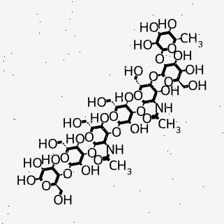 CC(=O)N[C@H]1[C@H](O[C@H]2[C@@H](O)[C@@H](CO)O[C@@H](O[C@H]3[C@H](O)[C@@H](CO)O[C@@H](O[C@H]4[C@@H](O)[C@@H](CO)O[C@@H](O[C@H]5[C@H](O)[C@@H](O)[C@H](O)O[C@@H]5CO)[C@@H]4O)[C@@H]3NC(C)=O)[C@@H]2O)O[C@H](CO)[C@@H](O[C@@H]2O[C@H](CO)[C@H](O)[C@H](O)[C@H]2O[C@@H]2O[C@@H](C)[C@@H](O)[C@@H](O)[C@@H]2O)[C@@H]1O